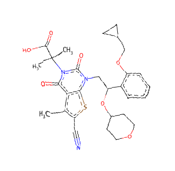 Cc1c(C#N)sc2c1c(=O)n(C(C)(C)C(=O)O)c(=O)n2CC(OC1CCOCC1)c1ccccc1OCC1CC1